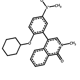 Cn1cc(-c2cc([S+](C)[O-])ccc2OC2CCCCC2)c2ccccc2c1=O